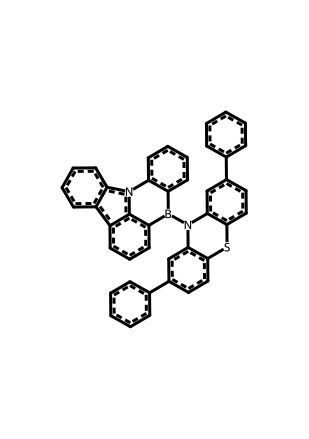 c1ccc(-c2ccc3c(c2)N(B2c4ccccc4-n4c5ccccc5c5cccc2c54)c2cc(-c4ccccc4)ccc2S3)cc1